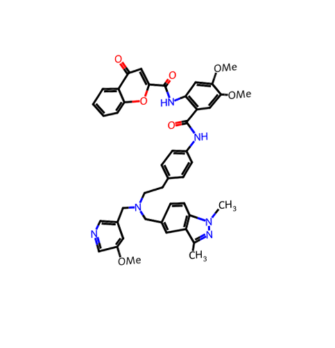 COc1cncc(CN(CCc2ccc(NC(=O)c3cc(OC)c(OC)cc3NC(=O)c3cc(=O)c4ccccc4o3)cc2)Cc2ccc3c(c2)c(C)nn3C)c1